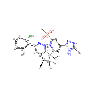 CC[C@]1(c2cc(-c3nnc(C)[nH]3)cc(S(C)(=O)=O)n2)c2nnc(-c3c(F)cccc3F)cc2[C@H](C)C1(C)C